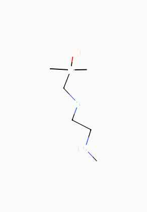 CNCCNC[Si](C)(C)O